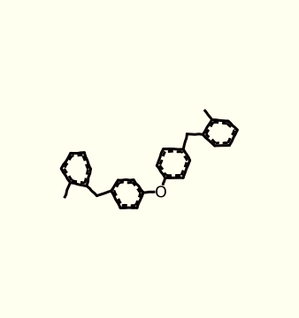 Cc1ccccc1Cc1ccc(Oc2ccc(Cc3ccccc3C)cc2)cc1